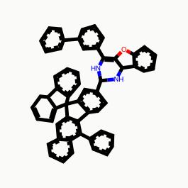 C1=CCC2C(=C1)C1(c3cc(C4NC(c5cccc(-c6ccccc6)c5)=C5Oc6ccccc6C5N4)ccc3-c3c1cc1ccccc1c3-c1ccccc1)c1ccccc12